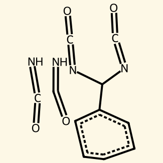 N=C=O.N=C=O.O=C=NC(N=C=O)c1ccccc1